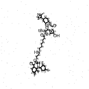 Cc1ncsc1-c1ccc(CNC(=O)[C@@H]2C[C@@H](O)CN2C(=O)[C@@H](NC(=O)CCCCCCCNCCCONC(=O)c2ccc(F)c(F)c2Nc2ccc(I)cc2F)C(C)(C)C)cc1